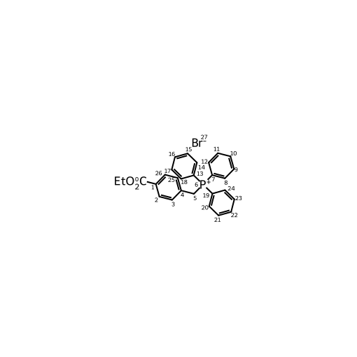 CCOC(=O)c1ccc(C[P+](c2ccccc2)(c2ccccc2)c2ccccc2)cc1.[Br-]